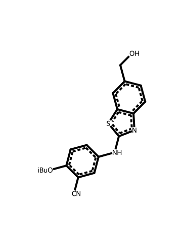 CC(C)COc1ccc(Nc2nc3ccc(CO)cc3s2)cc1C#N